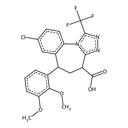 COc1cccc(C2CC(C(=O)O)c3nnc(C(F)(F)F)n3-c3ccc(Cl)cc32)c1OC